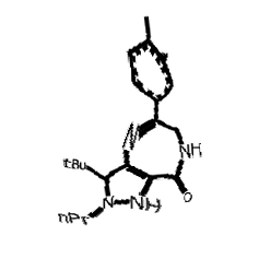 CCCN1NC2=C(N=C(c3ccc(C)cc3)CNC2=O)C1C(C)(C)C